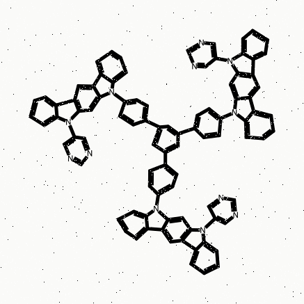 c1ccc2c(c1)c1cc3c4ccccc4n(-c4cncnc4)c3cc1n2-c1ccc(-c2cc(-c3ccc(-n4c5ccccc5c5cc6c7ccccc7n(-c7cncnc7)c6cc54)cc3)cc(-c3ccc(-n4c5ccccc5c5cc6c7ccccc7n(-c7cncnc7)c6cc54)cc3)c2)cc1